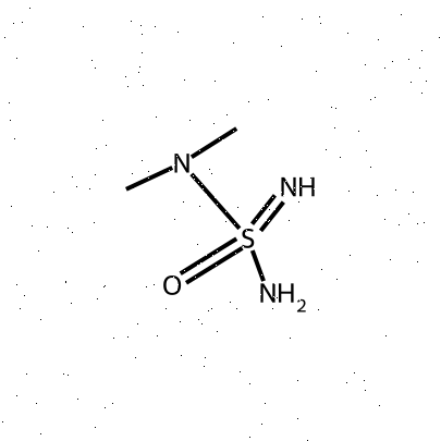 CN(C)S(=N)(N)=O